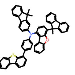 CC1(C)c2ccccc2-c2ccc(N(c3ccc(-c4cccc5c4sc4ccccc45)cc3)c3ccc(C4(C)c5ccccc5-c5ccccc54)c4oc5ccccc5c34)cc21